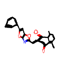 Cc1ccc(C)c2c1C(=O)C(=Cc1nc3oc(-c4ccccc4)cc3o1)C2=O